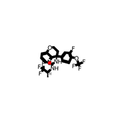 C[C@H](NC(=O)N[C@]1(c2ccc(OC(F)(F)F)c(F)c2)CCOc2cccnc21)C(F)(F)F